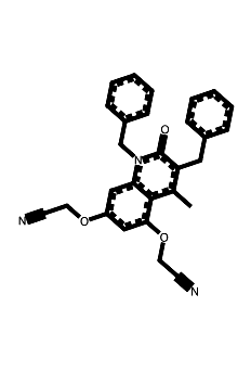 Cc1c(Cc2ccccc2)c(=O)n(Cc2ccccc2)c2cc(OCC#N)cc(OCC#N)c12